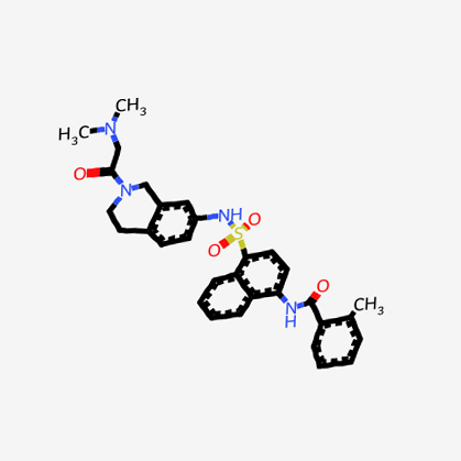 Cc1ccccc1C(=O)Nc1ccc(S(=O)(=O)Nc2ccc3c(c2)CN(C(=O)CN(C)C)CC3)c2ccccc12